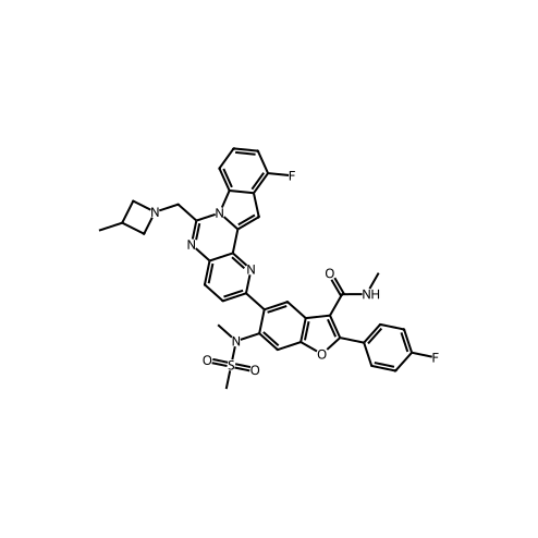 CNC(=O)c1c(-c2ccc(F)cc2)oc2cc(N(C)S(C)(=O)=O)c(-c3ccc4nc(CN5CC(C)C5)n5c6cccc(F)c6cc5c4n3)cc12